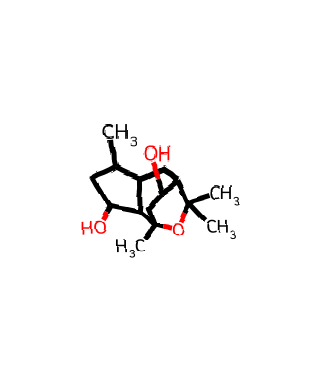 CC1CC(O)C2C1CC1C(O)CC2(C)OC1(C)C